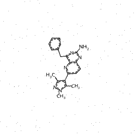 Cc1nn(C)c(C)c1-c1ccc2nc(N)nc(Cc3ccccc3)c2n1